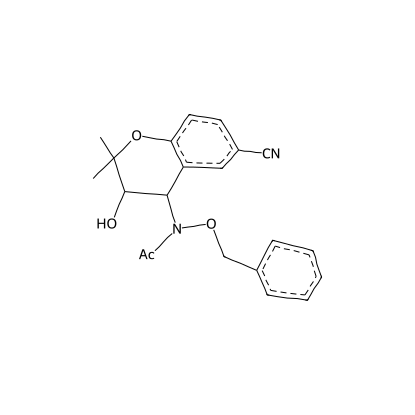 CC(=O)N(OCc1ccccc1)C1c2cc(C#N)ccc2OC(C)(C)C1O